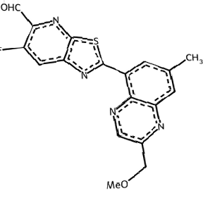 COCc1cnc2c(-c3nc4cc(F)c(C=O)nc4s3)cc(C)cc2n1